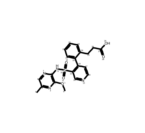 COc1nc(C)cnc1NS(=O)(=O)c1cnccc1-c1ccccc1CCC(=O)O